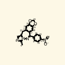 Cc1ncc2n1N=C(c1ccc([N+](=O)[O-])cc1)c1cc3c(cc1C2)OCO3